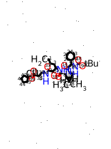 C=CCCC(NC(=O)[C@@H]1[C@@H]2[C@H](CN1C(=O)[C@@H](NC(=O)OC(C)(C)C)C1CCCCC1)C2(C)C)C(=O)C(=O)NCCC(=O)OC1(C)CCCC1